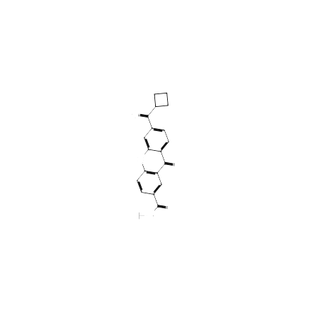 O=C(O)c1ccc2oc3cc(C(=O)C4CCC4)ccc3c(=O)c2c1